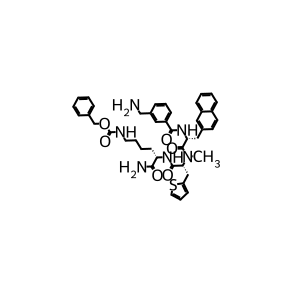 CN(C(=O)[C@@H](Cc1ccc2ccccc2c1)NC(=O)c1cccc(CN)c1)[C@H](Cc1cccs1)C(=O)N[C@@H](CCCCNC(=O)OCc1ccccc1)C(N)=O